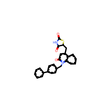 O=C1NC(=O)C(Cc2cc(=O)n(Cc3ccc(-c4ccccc4)cc3)c3ccccc23)S1